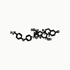 C[C@]12C=CC(=O)C=C1CC[C@@H]1C2[C@@H](O)C[C@@]2(C)C1C[C@H]1O[C@@H](c3ccc(Oc4ccc(N)cc4)cc3)O[C@]12C(=O)CO